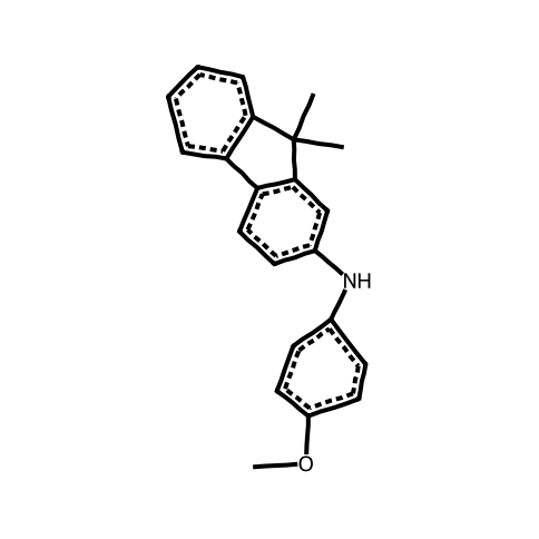 COc1ccc(Nc2ccc3c(c2)C(C)(C)c2ccccc2-3)cc1